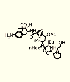 CCCCCCN(C(=O)[C@@H](NC(=O)[C@H]1CCCCN1CCO)[C@@H](C)CC)[C@H](C[C@@H](OC(C)=O)c1nc(C(=O)N[C@@H](Cc2ccc(N)cc2)CC(C)(C)C(=O)O)cs1)C(C)C